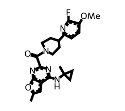 COc1ccc(C2CCN(C(=O)c3nc(NC4(C)CC4)c4cc(C)oc4n3)CC2)nc1F